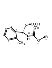 Cc1ccccc1[C@H](CC(=O)O)NC(=O)OC(C)(C)C